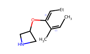 C/C=C(C)\C(=C/CC)OC1CNC1